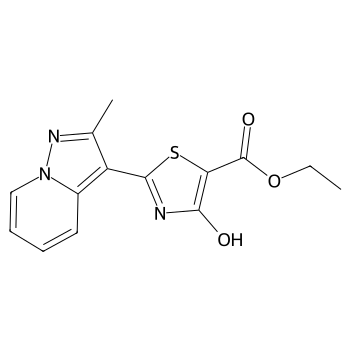 CCOC(=O)c1sc(-c2c(C)nn3ccccc23)nc1O